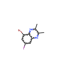 Cc1nc2cc(I)cc(Br)c2nc1C